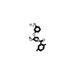 CO[C@@H]1CN(C(=O)c2cc(C)ccc2C)C[C@H]1Oc1cccc(N)c1